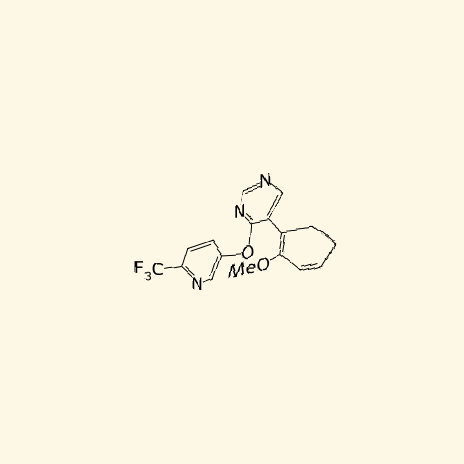 COC1=C(c2cncnc2Oc2ccc(C(F)(F)F)nc2)CCC=C1